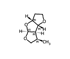 C[C@H]1CO[C@H]2O[C@@H]3CCO[C@@H]3[C@H]21